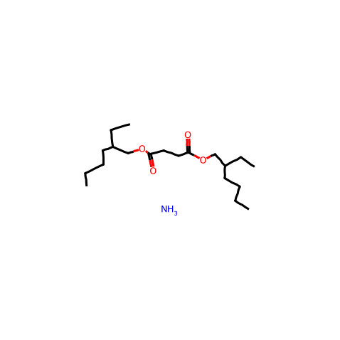 CCCCC(CC)COC(=O)CCC(=O)OCC(CC)CCCC.N